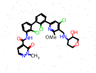 COc1nc(-c2cccc(-c3cccc(NC(=O)c4ccnn(C)c4=O)c3Cl)c2Cl)cc(Cl)c1CNC1CCOC[C@@H]1O